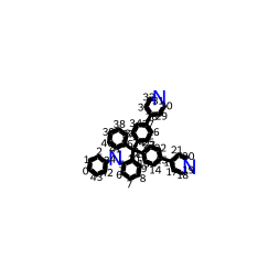 c1ccc(N2c3ccccc3C(c3ccc(-c4ccncc4)cc3)(c3ccc(-c4ccncc4)cc3)c3ccccc32)cc1